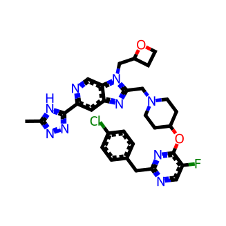 Cc1nnc(-c2cc3nc(CN4CCC(Oc5nc(Cc6ccc(Cl)cc6)ncc5F)CC4)n(CC4CCO4)c3cn2)[nH]1